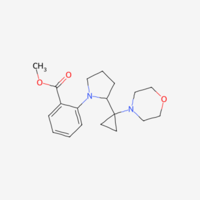 COC(=O)c1ccccc1N1CCCC1C1(N2CCOCC2)CC1